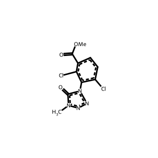 COC(=O)c1ccc(Cl)c(-n2nnn(C)c2=O)c1Cl